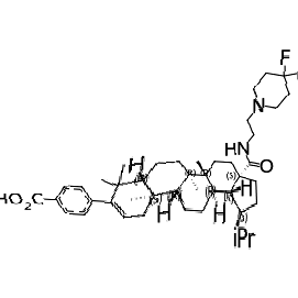 CC(C)[C@@H]1CC[C@]2(C(=O)NCCN3CCC(F)(F)CC3)CC[C@]3(C)[C@H](CC[C@@H]4[C@@]5(C)CC=C(c6ccc(C(=O)O)cc6)C(C)(C)[C@@H]5CC[C@]43C)[C@@H]12